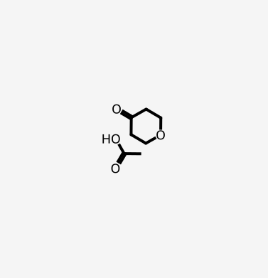 CC(=O)O.O=C1CCOCC1